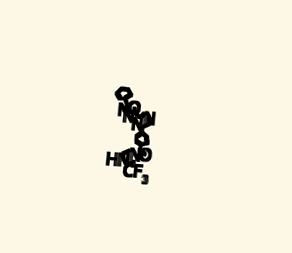 O=C(c1ccc(-c2cncc(-c3nnc(-c4ccccc4)o3)n2)cc1)N1CCNC(C(F)(F)F)C1